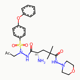 CC(=O)CN(NC(=O)[C@@H](N)CC(C)(C)C(=O)NN1CCOCC1)S(=O)(=O)c1ccc(Oc2ccccc2)cc1